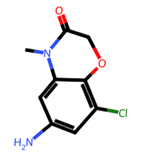 CN1C(=O)COc2c(Cl)cc(N)cc21